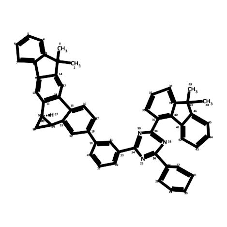 CC1(C)c2ccccc2-c2cc3c(cc21)-c1ccc(-c2cccc(-c4nc(-c5ccccc5)nc(-c5cccc6c5-c5ccccc5C6(C)C)n4)c2)cc1C1C[C@@H]31